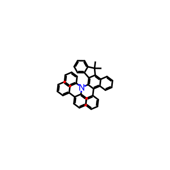 CC1(C)c2ccccc2-c2c(N(c3ccccc3)c3ccccc3-c3ccccc3)c(-c3ccccc3)c3ccccc3c21